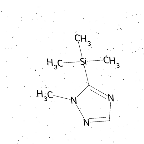 Cn1ncnc1[Si](C)(C)C